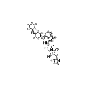 N#C/C(=C\c1ncc[nH]1)C(=O)N1CC[C@@H](Nc2n[nH]c3nccc(Oc4ccc(Oc5ccccc5)cc4)c23)C1